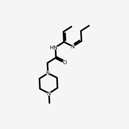 C/C=C(\N=C/CC)NC(=O)CN1CCN(C)CC1